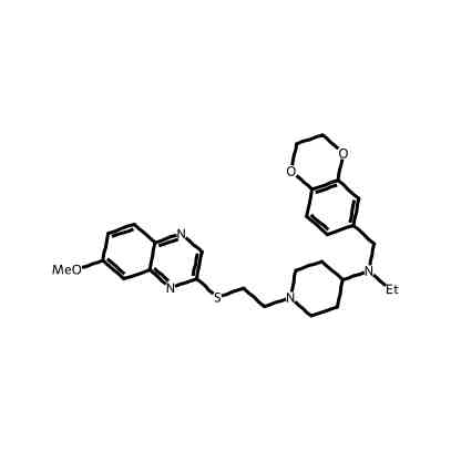 CCN(Cc1ccc2c(c1)OCCO2)C1CCN(CCSc2cnc3ccc(OC)cc3n2)CC1